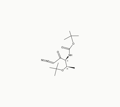 C[C@@H](OC(C)(C)C)[C@H](NC(=O)OC(C)(C)C)C(=O)C=[N+]=[N-]